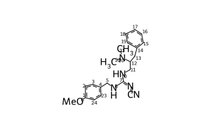 COc1ccc(CN/C(=N\C#N)NCC(Cc2ccccc2)N(C)C)cc1